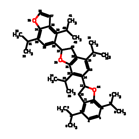 CC(C)c1ccc(C(C)C)c2c1CC(c1cc(C(C)C)c3c(c1C(C)C)OC(c1cc(C(C)C)c4occc4c1C(C)C)C3)O2